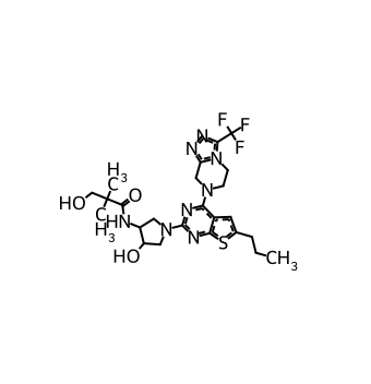 CCCc1cc2c(N3CCn4c(nnc4C(F)(F)F)C3)nc(N3CC(O)C(NC(=O)C(C)(C)CO)C3)nc2s1